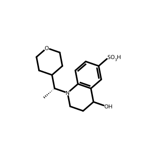 C[C@H](C1CCOCC1)N1CCC(O)c2cc(S(=O)(=O)O)ccc21